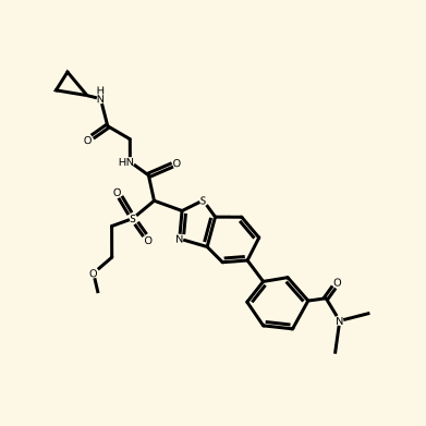 COCCS(=O)(=O)C(C(=O)NCC(=O)NC1CC1)c1nc2cc(-c3cccc(C(=O)N(C)C)c3)ccc2s1